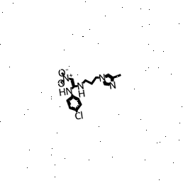 Cc1cn(CCCN/C(=C/[N+](=O)[O-])Nc2ccc(Cl)cc2)cn1